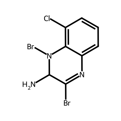 NC1C(Br)=Nc2cccc(Cl)c2N1Br